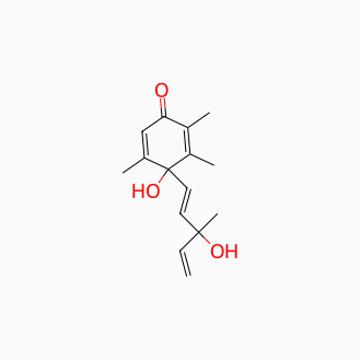 C=CC(C)(O)/C=C/C1(O)C(C)=CC(=O)C(C)=C1C